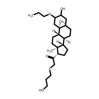 CCCOC1C[C@@]2(C)C(CC[C@H]3[C@@H]4CC[C@H](C(=O)CSCCCO)[C@@]4(C)CC[C@@H]32)CC1O